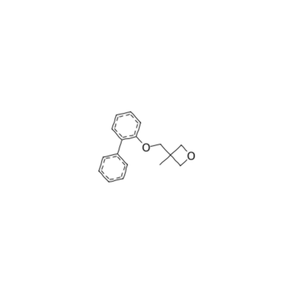 CC1(COc2ccccc2-c2ccccc2)COC1